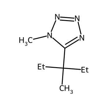 CCC(C)(CC)c1nnnn1C